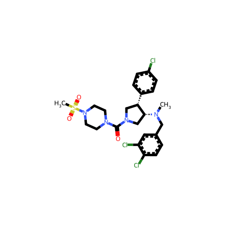 CN(Cc1ccc(Cl)c(Cl)c1)[C@@H]1CN(C(=O)N2CCN(S(C)(=O)=O)CC2)C[C@@H]1c1ccc(Cl)cc1